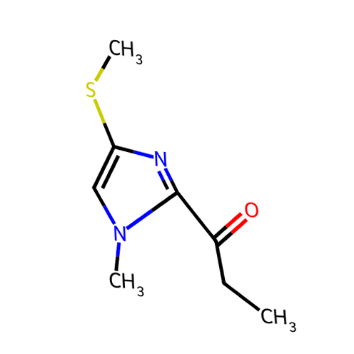 CCC(=O)c1nc(SC)cn1C